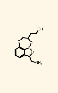 NCC1OB2OC(CCO)COc3cccc1c32